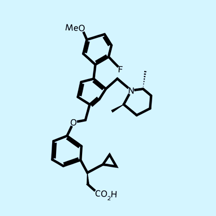 COc1ccc(F)c(-c2ccc(COc3cccc([C@H](CC(=O)O)C4CC4)c3)cc2CN2[C@H](C)CCC[C@H]2C)c1